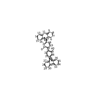 Cc1cc(N2c3ccccc3Cc3ccccc32)ccc1-c1ccc(-n2c3ccccc3c3ccccc32)cc1C